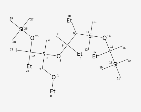 CCOC[Si](C)(OC(C)(CC)C(CC)[Si](C)(C)OC(C)(CC)[Si](C)(C)C)C(I)(CC)O[Si](C)(C)C